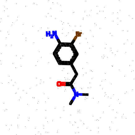 CN(C)C(=O)Cc1ccc(N)c(Br)c1